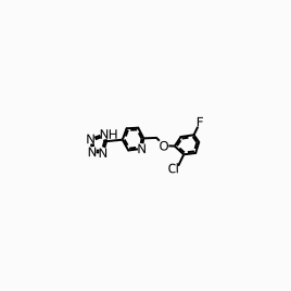 Fc1ccc(Cl)c(OCc2ccc(-c3nnn[nH]3)cn2)c1